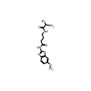 CC(C)C(N)C(=O)NCCCC(=O)Nc1nc2ccc(OC(F)(F)F)cc2s1